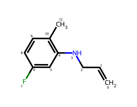 C=CCNc1cc(F)ccc1C